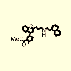 COC(=O)c1cc(C2CC(CCCNCCc3cccc4ccccc34)Oc3ccccc32)ccc1C